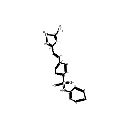 O=S(=O)(Nc1ccccc1)c1ccc(/C=C/c2noc(C(F)(F)F)n2)cc1